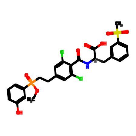 COP(=O)(CCc1cc(Cl)c(C(=O)N[C@@H](Cc2cccc(S(C)(=O)=O)c2)C(=O)O)c(Cl)c1)c1cccc(O)c1